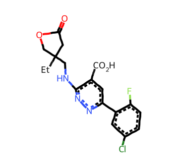 CCC1(CNc2nnc(-c3cc(Cl)ccc3F)cc2C(=O)O)COC(=O)C1